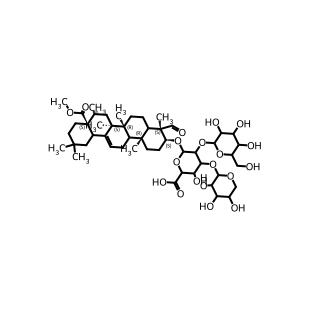 COC(=O)[C@]12CCC(C)(C)CC1C1=CCC3[C@@]4(C)CC[C@H](OC5OC(C(=O)O)C(O)C(OC6OCC(O)C(O)C6O)C5OC5OC(CO)C(O)C(O)C5O)[C@@](C)(C=O)C4CC[C@@]3(C)[C@]1(C)C[C@H]2C